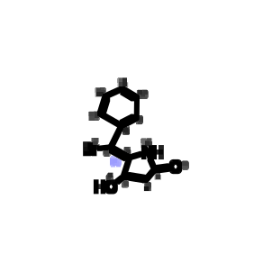 O=C1C=C(O)/C(=C(\Br)c2ccccc2)N1